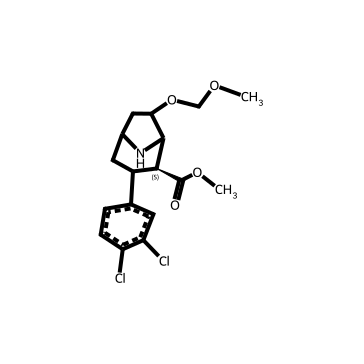 COCOC1CC2CC(c3ccc(Cl)c(Cl)c3)[C@H](C(=O)OC)C1N2